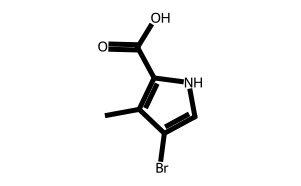 Cc1c(Br)c[nH]c1C(=O)O